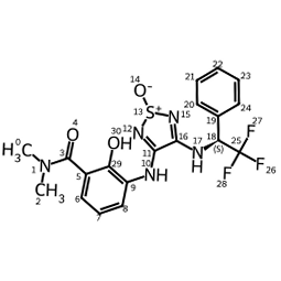 CN(C)C(=O)c1cccc(Nc2n[s+]([O-])nc2N[C@@H](c2ccccc2)C(F)(F)F)c1O